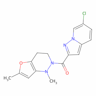 Cc1cc2c(o1)CCN(C(=O)c1cc3ccc(Cl)cn3n1)N2C